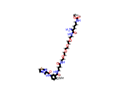 COc1ccc(NC(=O)c2cn3ccsc3n2)cc1C(=O)NCCCC(=O)NCCOCCOCCOCCOCCNC(=O)C(N)CCCCNC(=O)OC(C)(C)C